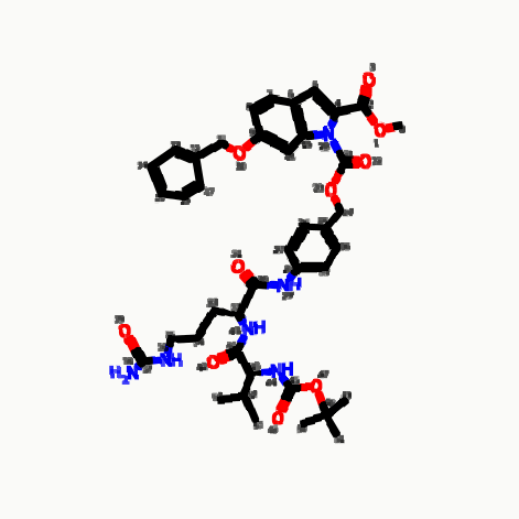 COC(=O)c1cc2ccc(OCc3ccccc3)cc2n1C(=O)OCc1ccc(NC(=O)[C@H](CCCNC(N)=O)NC(=O)[C@@H](NC(=O)OC(C)(C)C)C(C)C)cc1